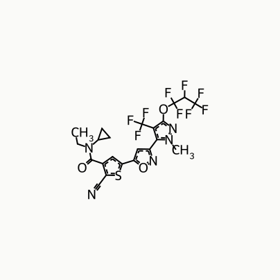 CCN(C(=O)c1cc(-c2cc(-c3c(C(F)(F)F)c(OC(F)(F)C(F)C(F)(F)F)nn3C)no2)sc1C#N)C1CC1